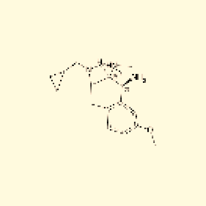 CN[C@@H]1C2Cc3ccc(OC)cc3[C@@]1(N)CCN2CC1CC1